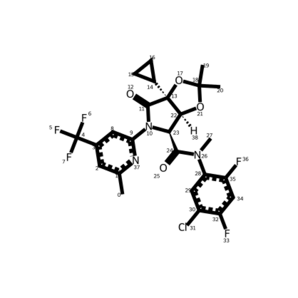 Cc1cc(C(F)(F)F)cc(N2C(=O)[C@@]3(C4CC4)OC(C)(C)O[C@H]3[C@H]2C(=O)N(C)c2cc(Cl)c(F)cc2F)n1